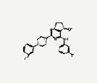 [O-][S+]1CCc2nc(N3CCC(c4cccc(Cl)c4)CC3)nc(Nc3cccc(F)c3)c21